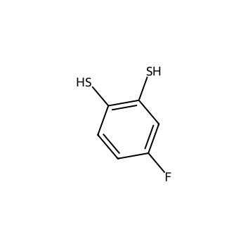 Fc1ccc(S)c(S)c1